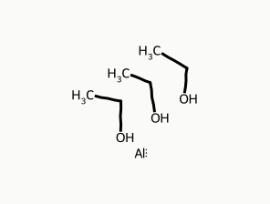 CCO.CCO.CCO.[Al]